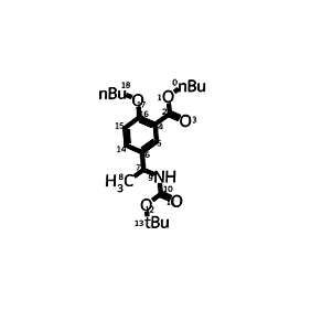 CCCCOC(=O)c1cc(C(C)NC(=O)OC(C)(C)C)ccc1OCCCC